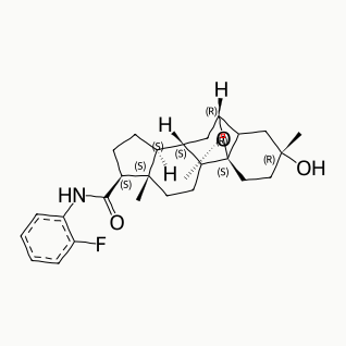 C[C@H]1O[C@@H]2C[C@@H]3C(CC[C@]4(C)[C@@H](C(=O)Nc5ccccc5F)CC[C@@H]34)[C@]13CC[C@@](C)(O)CC23